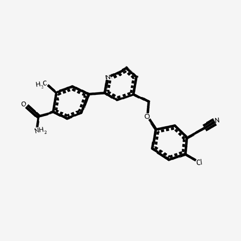 Cc1cc(-c2cc(COc3ccc(Cl)c(C#N)c3)ccn2)ccc1C(N)=O